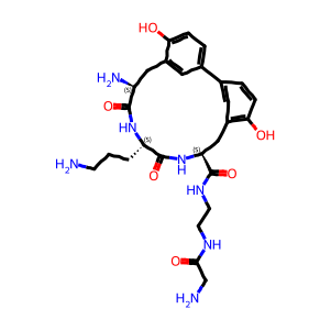 NCCC[C@@H]1NC(=O)[C@@H](N)Cc2cc(ccc2O)-c2ccc(O)c(c2)C[C@@H](C(=O)NCCNC(=O)CN)NC1=O